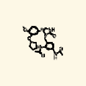 COc1ccc([C@@H]2CNC(=O)N2Cc2ccc(NC(C)=O)cc2NC(C)=O)cc1OC1CCCC1